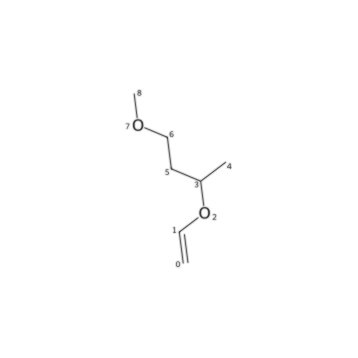 C=COC(C)CCOC